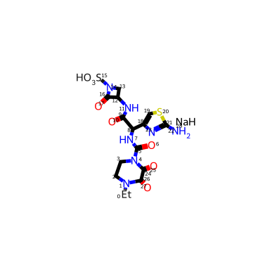 CCN1CCN(C(=O)NC(C(=O)NC2CN(S(=O)(=O)O)C2=O)c2csc(N)n2)C(=O)C1=O.[NaH]